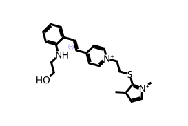 CC1C=C[N+](C)=C1SCC[n+]1ccc(/C=C/c2ccccc2NCCO)cc1